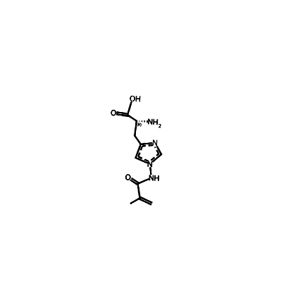 C=C(C)C(=O)Nn1cnc(C[C@@H](N)C(=O)O)c1